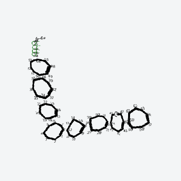 C1=C\CCCCCC/1.C1=C\CCCCCC/1.C1=C\CCCCCC/1.C1=C\CCCCCC/1.C1=C\CCCCCC/1.C1=C\CCCCCC/1.C1=C\CCCCCC/1.C1=C\CCCCCC/1.[Cl-].[Cl-].[Cl-].[Cl-].[Ir+4]